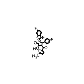 Cc1ccc(C(=O)C2=C(O)C(=O)N(c3nc4ccc(F)cc4s3)C2c2ccc(F)cc2F)o1